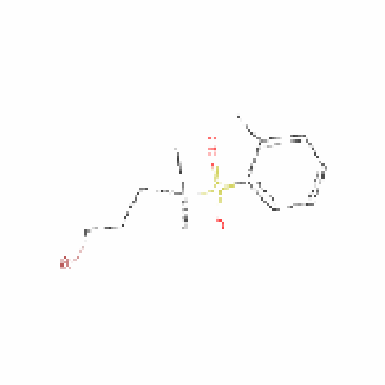 Cc1ccccc1S(=O)(=O)C(C)(C)CCCBr